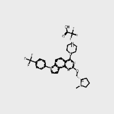 CN1CCC[C@H]1COc1nc(N2CCNCC2)c2ccc3c(ccn3-c3ccc(C(F)(F)F)cc3)c2n1.O=C(O)C(F)(F)F